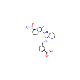 Cc1cn2c(C(N)=O)cccc2c1-c1nc2c(c(NCc3cccc(B(O)O)c3)n1)NCCC2